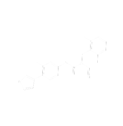 CCc1cc(NC(=O)N(C=N)Cc2c(F)cccc2F)ccc1-c1cn[nH]c1